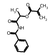 C=C(C)C(=O)OC(C)C(=O)NC(=O)c1ccccc1